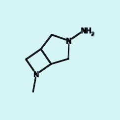 CN1CC2CN(N)CC21